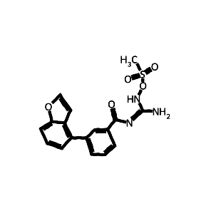 CS(=O)(=O)ONC(N)=NC(=O)c1cccc(-c2cccc3occc23)c1